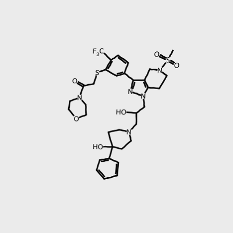 CS(=O)(=O)N1CCc2c(c(-c3ccc(C(F)(F)F)c(SCC(=O)N4CCOCC4)c3)nn2CC(O)CN2CCC(O)(c3ccccc3)CC2)C1